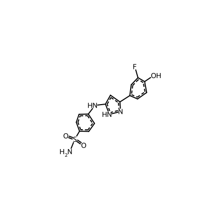 NS(=O)(=O)c1ccc(Nc2cc(-c3ccc(O)c(F)c3)n[nH]2)cc1